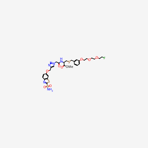 COC(=O)C(CSCc1cccc(OCCOCCOCCF)c1)NC(=O)Cn1cc(COc2ccc3nc(S(N)(=O)=O)sc3c2)nn1